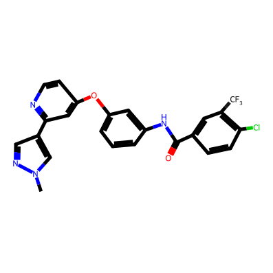 Cn1cc(-c2cc(Oc3cccc(NC(=O)c4ccc(Cl)c(C(F)(F)F)c4)c3)ccn2)cn1